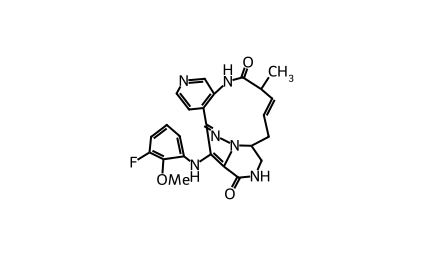 COc1c(F)cccc1Nc1c2nn3c1C(=O)NCC3C/C=C/C(C)C(=O)Nc1cnccc1-2